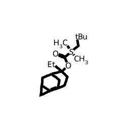 CCC1(OC(=O)S(C)(C)CC(C)(C)C)CCC2=C3CC3CC1C2